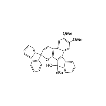 CCCCC1(O)c2ccccc2-c2c1c1c(c3cc(OC)c(OC)cc23)C=CC(c2ccccc2)(c2ccccc2)O1